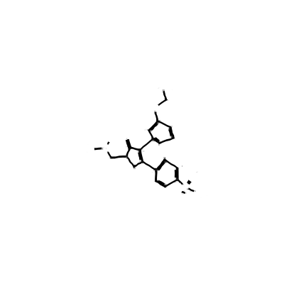 CCOc1cccc(C2=C(c3ccc(S(C)(=O)=O)cc3)CC(CN(C)C)C2=O)c1